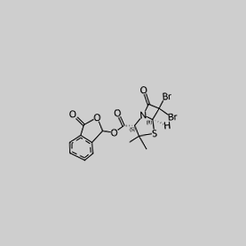 CC1(C)S[C@H]2N(C(=O)C2(Br)Br)[C@H]1C(=O)OC1OC(=O)c2ccccc21